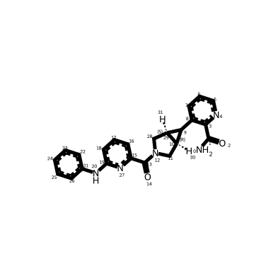 NC(=O)c1ncccc1C1[C@H]2CN(C(=O)c3cccc(Nc4ccccc4)n3)C[C@@H]12